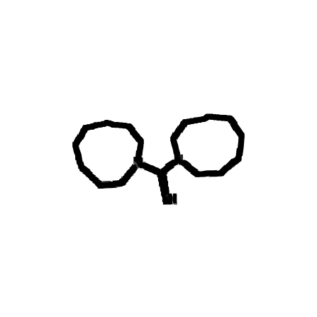 N=C(N1CCCCCCCC1)N1CCCCCCCC1